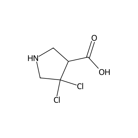 O=C(O)C1CNCC1(Cl)Cl